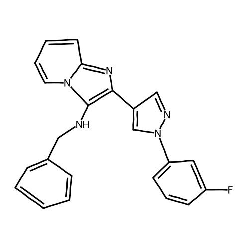 Fc1cccc(-n2cc(-c3nc4ccccn4c3NCc3ccccc3)cn2)c1